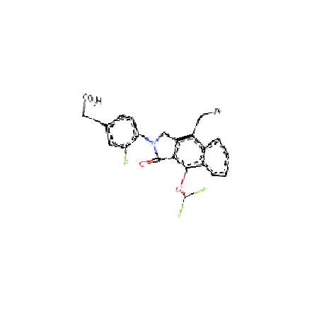 CC(C)Cc1c2c(c(OC(F)F)c3ccccc13)C(=O)N(c1ccc(CC(=O)O)cc1F)C2